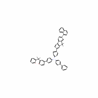 CC1(C)c2ccccc2Oc2ccc(-c3ccc(N(c4ccc(-c5ccccc5)cc4)c4ccc(-c5ccc6c(c5)C(C)(C)c5cc(-c7cccc8ccccc78)ccc5-6)cc4)cc3)cc21